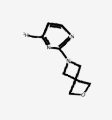 [2H]c1ccnc(N2CC3(COC3)C2)n1